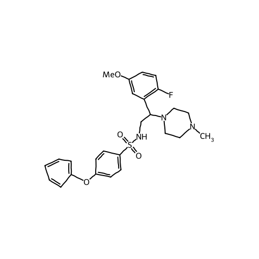 COc1ccc(F)c(C(CNS(=O)(=O)c2ccc(Oc3ccccc3)cc2)N2CCN(C)CC2)c1